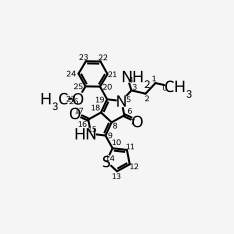 CCCC(N)N1C(=O)C2=C(c3cccs3)NC(=O)C2=C1c1ccccc1OC